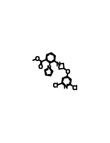 COC(=O)c1cccc(N2CC(Oc3cc(Cl)nc(Cl)c3)C2)c1-n1cccc1